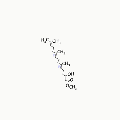 COC(=O)CC(O)CC/C=C(\C)CC/C=C(\C)CCC=C(C)C